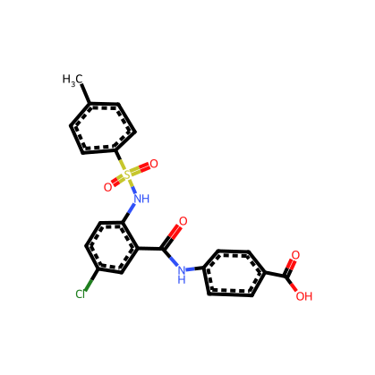 Cc1ccc(S(=O)(=O)Nc2ccc(Cl)cc2C(=O)Nc2ccc(C(=O)O)cc2)cc1